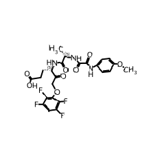 COc1ccc(NC(=O)C(=O)N[C@@H](C)C(=O)N[C@@H](CCC(=O)O)C(=O)COc2c(F)c(F)cc(F)c2F)cc1